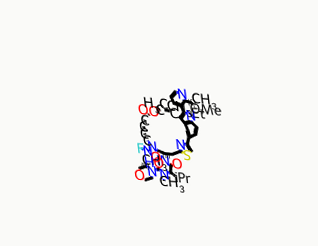 CCn1c(-c2cccnc2[C@H](C)OC)c2c3cc(ccc31)-c1csc(n1)C[C@H](NC(=O)C(C(C)C)N(C)C(=O)N1CCOC[C@H]1C)C(=O)N(NF)CCCCC(=O)OCC(C)(C)C2